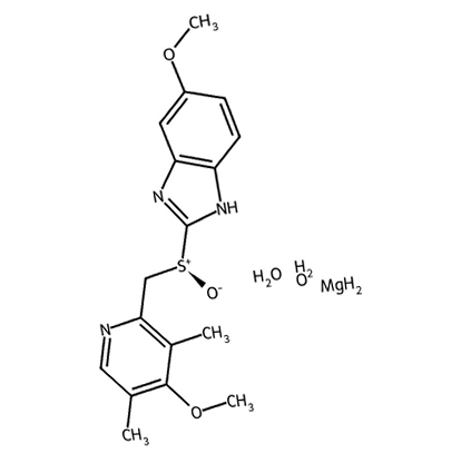 COc1ccc2[nH]c([S@@+]([O-])Cc3ncc(C)c(OC)c3C)nc2c1.O.O.[MgH2]